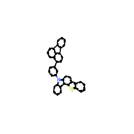 c1cc(-c2ccc3c4c(cccc24)-c2ccccc2-3)cc(-n2c3ccccc3c3c4sc5ccccc5c4ccc32)c1